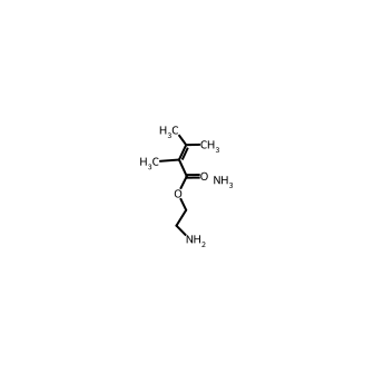 CC(C)=C(C)C(=O)OCCN.N